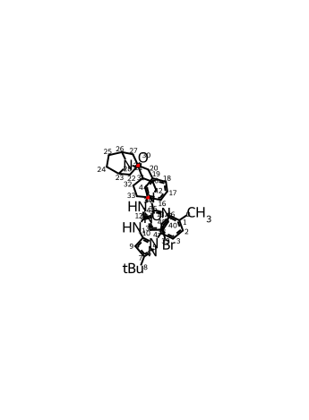 Cc1ccc(-n2nc(C(C)(C)C)cc2NC(=O)Nc2cccc(CC3CC4CCC(C3)N4C(=O)C3CCN(c4ncc(Br)cn4)CC3)c2)cc1